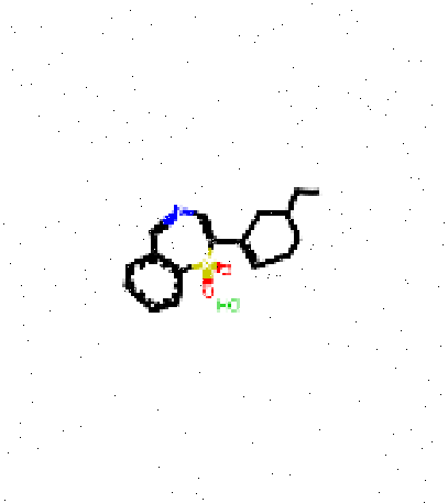 CCC1CCC=C(C2=CN=Cc3ccccc3S2(=O)=O)C1.Cl